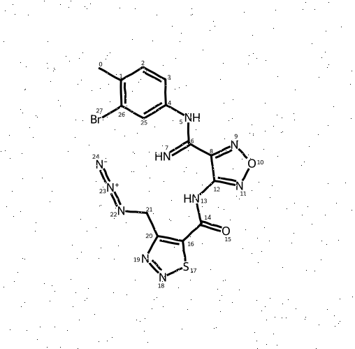 Cc1ccc(NC(=N)c2nonc2NC(=O)c2snnc2CN=[N+]=[N-])cc1Br